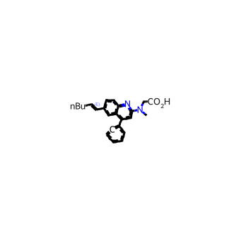 CCCC/C=C/c1ccc2nc(N(C)CC(=O)O)cc(-c3ccccc3)c2c1